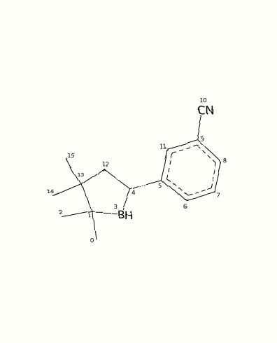 CC1(C)BC(c2cccc(C#N)c2)CC1(C)C